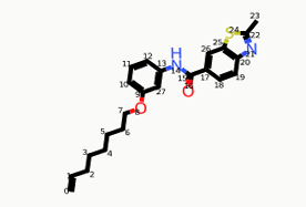 C=CCCCCCCOc1cccc(NC(=O)c2ccc3nc(C)sc3c2)c1